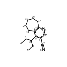 CCC(CC)c1c(C#N)cnc2c1CCCCC2